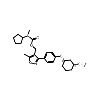 Cc1snc(-c2ccc(O[C@H]3CCC[C@H](C(=O)O)C3)cc2)c1COC(=O)N(C)C1CCCC1